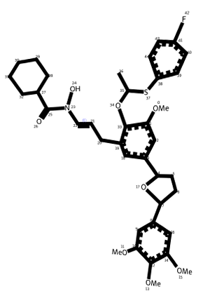 COc1cc(C2CCC(c3cc(OC)c(OC)c(OC)c3)O2)cc(C/C=C/N(O)C(=O)C2CCCCC2)c1OC(C)Sc1ccc(F)cc1